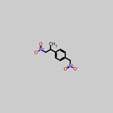 CC(C[N+](=O)[O-])c1ccc(C[N+](=O)[O-])cc1